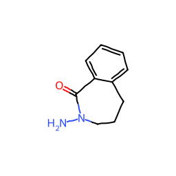 NN1CCCc2ccccc2C1=O